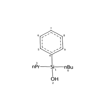 CCCC[Si](O)(CCC)c1ccccc1